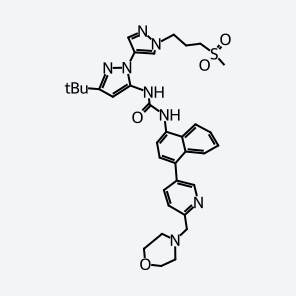 CC(C)(C)c1cc(NC(=O)Nc2ccc(-c3ccc(CN4CCOCC4)nc3)c3ccccc23)n(-c2cnn(CCCS(C)(=O)=O)c2)n1